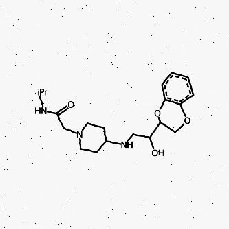 CC(C)NC(=O)CN1CCC(NCC(O)C2COc3ccccc3O2)CC1